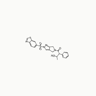 CC(O)C(C(=O)N1Cc2cn(S(=O)(=O)c3ccc4ncsc4c3)nc2C1)c1ccccc1